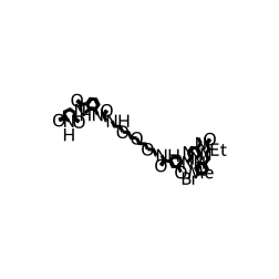 CC[C@@H]1C(=O)N(C)c2cnc(Nc3ccc(C(=O)NCCOCCOCCOCCNCC(=O)Nc4cccc5c4CN(C4CCC(=O)NC4=O)C5=O)cc3OC)nc2N1Cc1ccc(Br)cc1